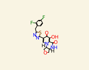 O=C1N[C@@H]2COC[C@H]2n2cc(-c3nnc(Cc4ccc(F)cc4F)s3)c(=O)c(O)c21